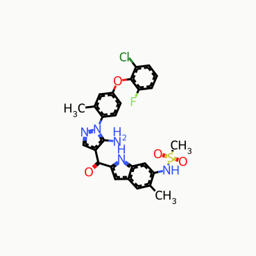 Cc1cc2cc(C(=O)c3cnn(-c4ccc(Oc5c(F)cccc5Cl)cc4C)c3N)[nH]c2cc1NS(C)(=O)=O